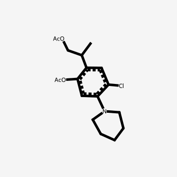 CC(=O)OCC(C)c1cc(Cl)c(N2CCCCC2)cc1OC(C)=O